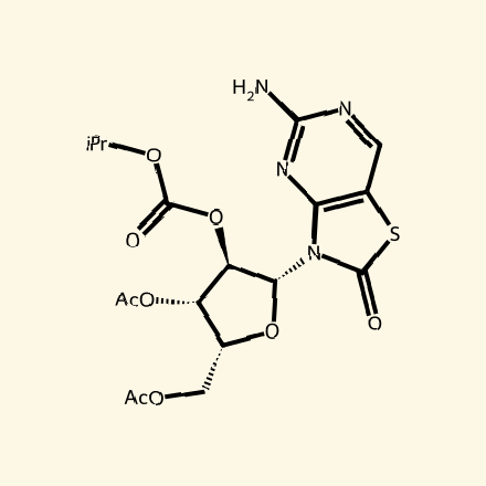 CC(=O)OC[C@H]1O[C@@H](n2c(=O)sc3cnc(N)nc32)[C@H](OC(=O)OC(C)C)[C@H]1OC(C)=O